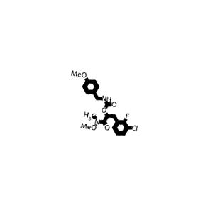 COc1ccc(CNC(=O)OC(Cc2cccc(Cl)c2F)C(=O)N(C)OC)cc1